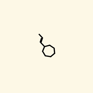 CC=CC1CCCCCC1